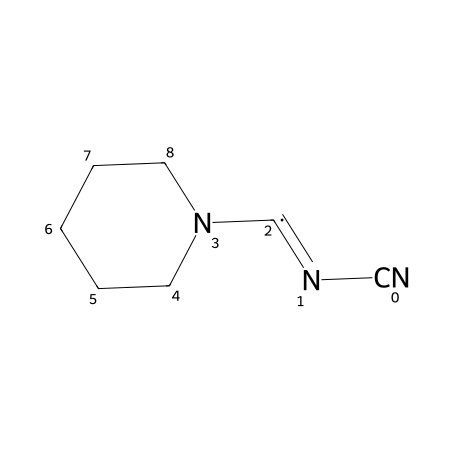 N#C/N=[C]/N1CCCCC1